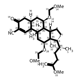 C=C(CC[C@@H](C)[C@H]1CC[C@H]2[C@@H]3[C@H](OCOC)C[C@@H]4CC(=O)C(C#N)=C[C@]4(C)[C@H]3C[C@H](OCOC)[C@]12C)OC